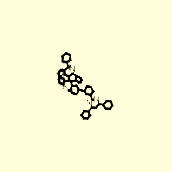 c1ccc(-c2cc(-c3ccccc3)nc(-c3cccc(-c4ccc5c(c4)C4(c6ccccc6O5)c5ccccc5-c5nc(-c6ccccc6)c6ccccc6c54)c3)n2)cc1